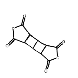 O=C1OC(=O)C2C1C1C3C(=O)OC(=O)C3C21